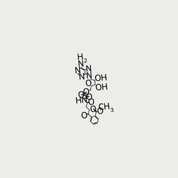 COC(=O)c1ccccc1C(=O)CCC(=O)NS(=O)(=O)OC[C@H]1O[C@@H](n2cnc3c(N)ncnc32)[C@H](O)[C@@H]1O